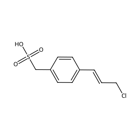 O=S(=O)(O)Cc1ccc(C=CCCl)cc1